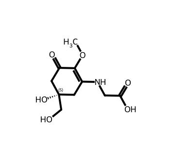 COC1=C(NCC(=O)O)C[C@@](O)(CO)CC1=O